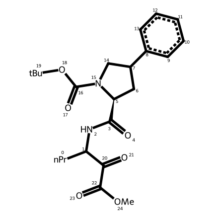 CCCC(NC(=O)[C@@H]1CC(c2ccccc2)CN1C(=O)OC(C)(C)C)C(=O)C(=O)OC